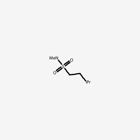 CNS(=O)(=O)CCC(C)C